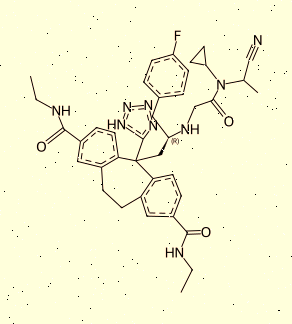 CCNC(=O)c1ccc2c(c1)CCc1cc(C(=O)NCC)ccc1C2(C[C@@H](Cc1ccc(F)cc1)NCC(=O)N(C(C)C#N)C1CC1)c1nnn[nH]1